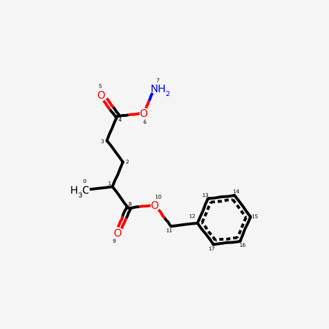 CC(CCC(=O)ON)C(=O)OCc1ccccc1